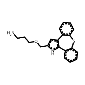 NCCCOCc1cc2c([nH]1)-c1ccccc1Sc1ccccc1-2